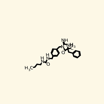 CCCCNC(=O)NCc1ccc(CN2C(=N)NC(C)(Cc3ccccc3)C2=O)cc1